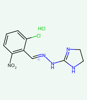 Cl.O=[N+]([O-])c1cccc(Cl)c1/C=N/NC1=NCCN1